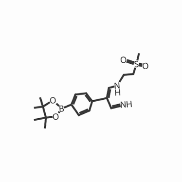 CC1(C)OB(c2ccc(/C(C=N)=C/NCCS(C)(=O)=O)cc2)OC1(C)C